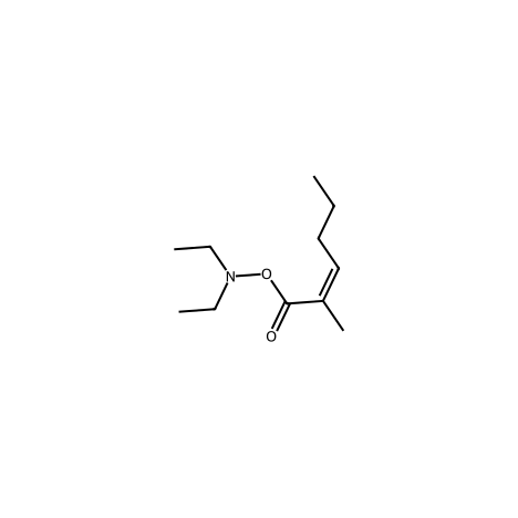 CCCC=C(C)C(=O)ON(CC)CC